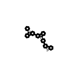 c1ccc(-n2c3ccccc3c3cc(-c4ccc5c(c4)c4ccccc4n5-c4ccc(-c5ccc6sc7ccccc7c6c5)cc4)ccc32)cc1